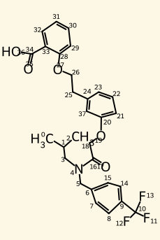 CC(C)CN(Cc1ccc(C(F)(F)F)cc1)C(=O)COc1cccc(CCOc2ccccc2C(=O)O)c1